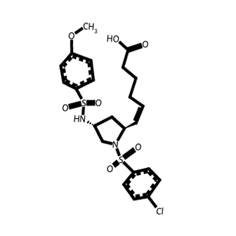 COc1ccc(S(=O)(=O)N[C@@H]2C[C@@H](/C=C\CCCC(=O)O)N(S(=O)(=O)c3ccc(Cl)cc3)C2)cc1